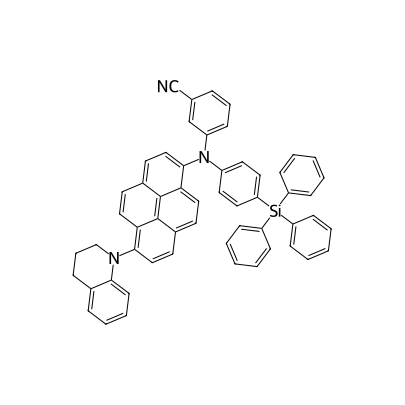 N#Cc1cccc(N(c2ccc([Si](c3ccccc3)(c3ccccc3)c3ccccc3)cc2)c2ccc3ccc4c(N5CCCc6ccccc65)ccc5ccc2c3c54)c1